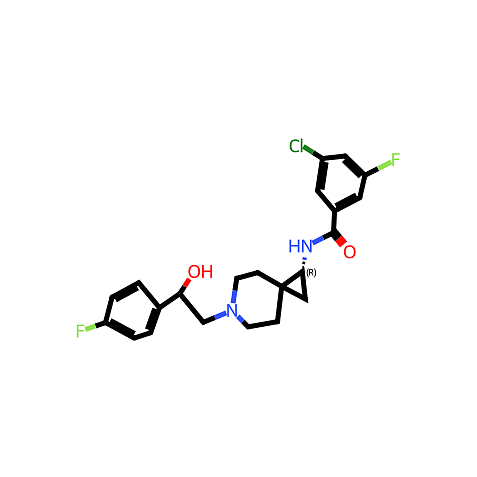 O=C(N[C@@H]1CC12CCN(CC(O)c1ccc(F)cc1)CC2)c1cc(F)cc(Cl)c1